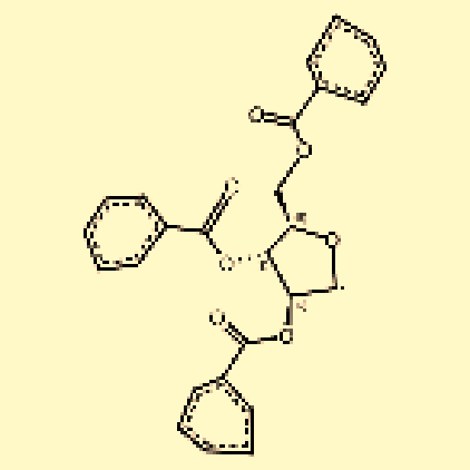 O=C(OC[C@H]1O[CH][C@@H](OC(=O)c2ccccc2)[C@@H]1OC(=O)c1ccccc1)c1ccccc1